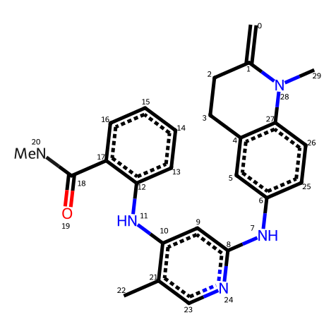 C=C1CCc2cc(Nc3cc(Nc4ccccc4C(=O)NC)c(C)cn3)ccc2N1C